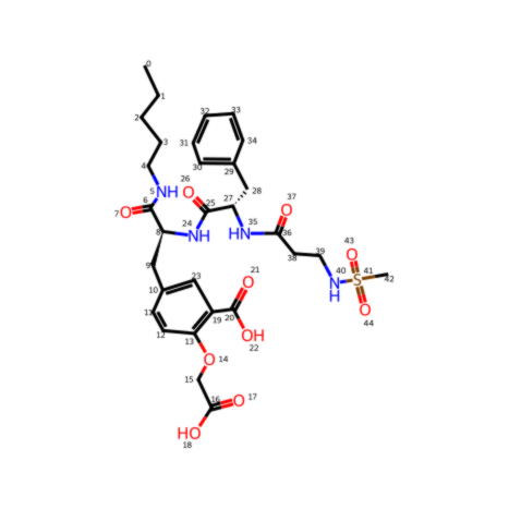 CCCCCNC(=O)[C@H](Cc1ccc(OCC(=O)O)c(C(=O)O)c1)NC(=O)[C@H](Cc1ccccc1)NC(=O)CCNS(C)(=O)=O